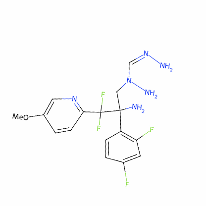 COc1ccc(C(F)(F)C(N)(CN(N)/C=N\N)c2ccc(F)cc2F)nc1